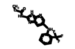 COC(=O)Nc1nc2cc(Nc3ccccc3C(F)(F)F)cnc2[nH]1